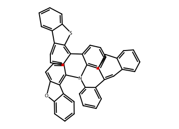 c1ccc(N(c2ccccc2-c2cccc3c2sc2ccccc23)c2cccc3oc4ccccc4c23)c(-c2ccc3ccccc3c2)c1